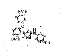 CN[C@H]1CC[C@H](Oc2ccnc(OC)c2-c2cc(Nc3cnc(C#N)cn3)n[nH]2)CC1